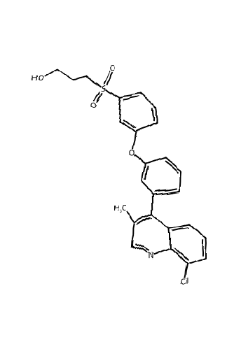 Cc1cnc2c(Cl)cccc2c1-c1cccc(Oc2cccc(S(=O)(=O)CCCO)c2)c1